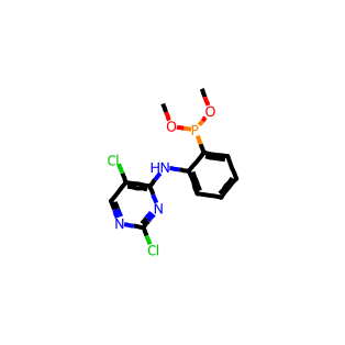 COP(OC)c1ccccc1Nc1nc(Cl)ncc1Cl